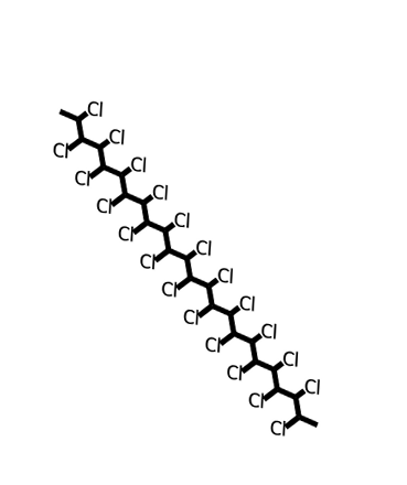 CC(Cl)C(Cl)C(Cl)C(Cl)C(Cl)C(Cl)C(Cl)C(Cl)C(Cl)C(Cl)C(Cl)C(Cl)C(Cl)C(Cl)C(Cl)C(Cl)C(Cl)C(Cl)C(Cl)C(Cl)C(Cl)C(C)Cl